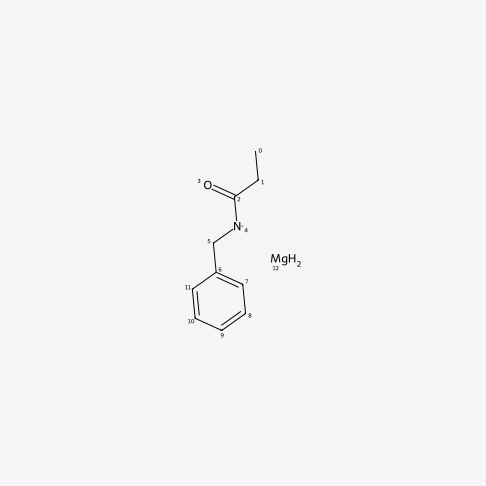 CCC(=O)[N]Cc1ccccc1.[MgH2]